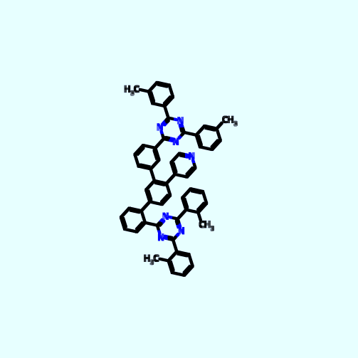 Cc1cccc(-c2nc(-c3cccc(C)c3)nc(-c3cccc(-c4cc(-c5ccccc5-c5nc(-c6ccccc6C)nc(-c6ccccc6C)n5)ccc4-c4ccncc4)c3)n2)c1